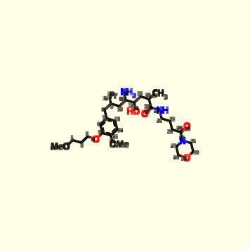 COCCCOc1cc(CC(CC(N)C(O)CC(C)C(=O)NCCCC(=O)N2CCOCC2)C(C)C)ccc1OC